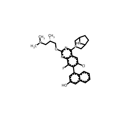 C[C@H](COc1nc(N2CC3CCC(C2)N3)c2cc(Cl)c(-c3cc(O)cc4ccccc34)c(F)c2n1)CN(C)C